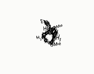 CCN1CCN(CC(O)COc2c(OC)cc3c4c2Oc2cc5c(cc2CO)CCN(C)[C@H]5Cc2ccc(cc2)Oc2cc(ccc2OC)C[C@@H]4N(C)CC3)CC1